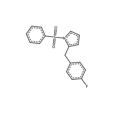 O=S(=O)(c1ccccc1)n1cccc1Cc1ccc(F)cc1